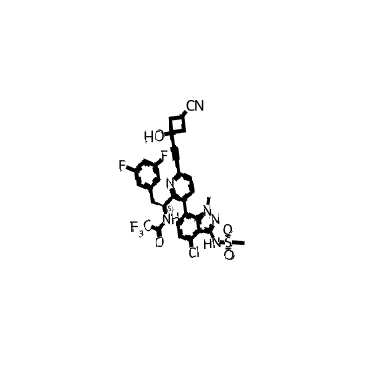 Cn1nc(NS(C)(=O)=O)c2c(Cl)ccc(-c3ccc(C#CC4(O)CC(C#N)C4)nc3[C@H](Cc3cc(F)cc(F)c3)NC(=O)C(F)(F)F)c21